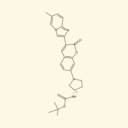 Cc1ccc2nc(-c3cc4ccc(N5CC[C@H](NC(=O)OC(C)(C)C)C5)cc4oc3=O)cn2c1